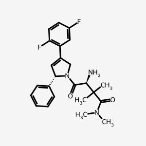 CN(C)C(=O)C(C)(C)[C@H](N)C(=O)N1CC(c2cc(F)ccc2F)=C[C@H]1c1ccccc1